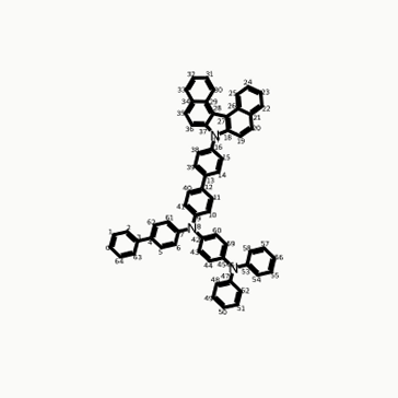 c1ccc(-c2ccc(N(c3ccc(-c4ccc(-n5c6ccc7ccccc7c6c6c7ccccc7ccc65)cc4)cc3)c3ccc(N(c4ccccc4)c4ccccc4)cc3)cc2)cc1